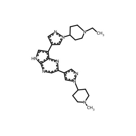 CCN1CCC(n2cc(-c3c[nH]c4ncc(-c5cnn(C6CCN(C)CC6)c5)nc34)cn2)CC1